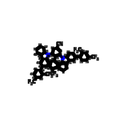 N#Cc1cc(-n2c3ccccc3c3cc(-c4ccc(C(F)(F)F)cc4C(F)(F)F)ccc32)c(-c2ccc(C(F)(F)F)cc2C(F)(F)F)c(-n2c3ccccc3c3cc(-c4ccc(C(F)(F)F)cc4C(F)(F)F)ccc32)c1